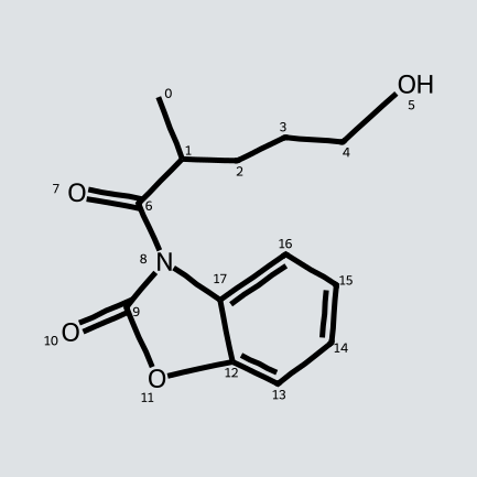 CC(CCCO)C(=O)n1c(=O)oc2ccccc21